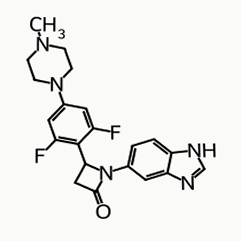 CN1CCN(c2cc(F)c(C3CC(=O)N3c3ccc4[nH]cnc4c3)c(F)c2)CC1